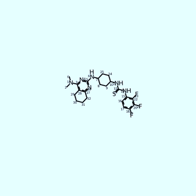 CN(C)c1nc(NC2CCC(NC(=S)Nc3ccc(F)c(F)c3F)CC2)nc2c1CCCC2